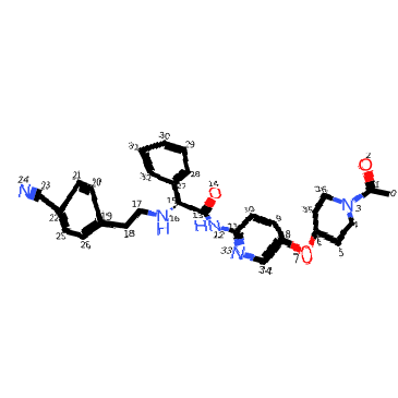 CC(=O)N1CCC(Oc2ccc(NC(=O)[C@H](NCCc3ccc(C#N)cc3)c3ccccc3)nc2)CC1